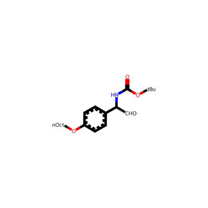 CCCCCCCCOc1ccc(C([C]=O)NC(=O)OC(C)(C)C)cc1